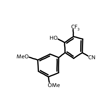 COc1cc(OC)cc(-c2cc(C#N)cc(C(F)(F)F)c2O)c1